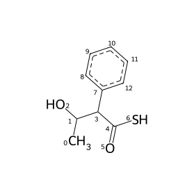 CC(O)C(C(=O)S)c1ccccc1